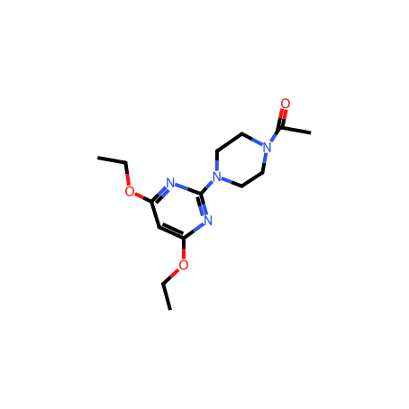 CCOc1cc(OCC)nc(N2CCN(C(C)=O)CC2)n1